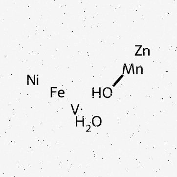 O.[Fe].[Ni].[OH][Mn].[V].[Zn]